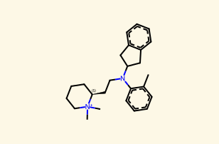 Cc1ccccc1N(CC[C@@H]1CCCC[N+]1(C)C)C1Cc2ccccc2C1